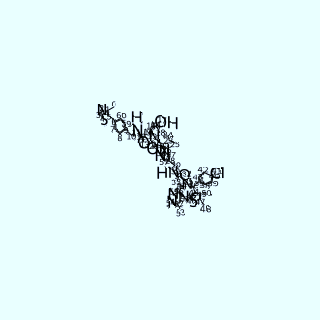 Cc1ncsc1-c1ccc(CNC(=O)[C@@H]2C[C@@H](O)CN2C(=O)[C@H](C(C)C)n2cc(CNC(=O)C[C@@H]3N=C(c4ccc(Cl)cc4)c4c(sc(C)c4C)-n4c(C)nnc43)cn2)cc1